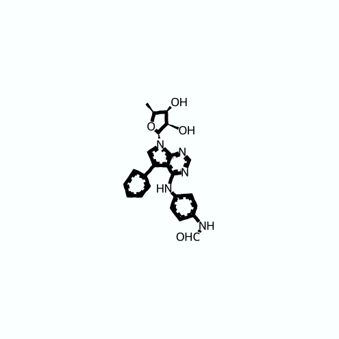 C[C@@H]1O[C@@H](n2cc(-c3ccccc3)c3c(Nc4ccc(NC=O)cc4)ncnc32)[C@H](O)[C@@H]1O